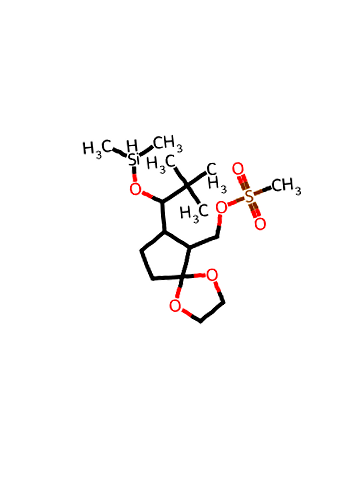 C[SiH](C)OC(C1CCC2(OCCO2)C1COS(C)(=O)=O)C(C)(C)C